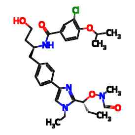 CC[C@@H](ON(C)C=O)c1nc(-c2ccc(C[C@@H](CCO)NC(=O)c3ccc(OC(C)C)c(Cl)c3)cc2)cn1CC